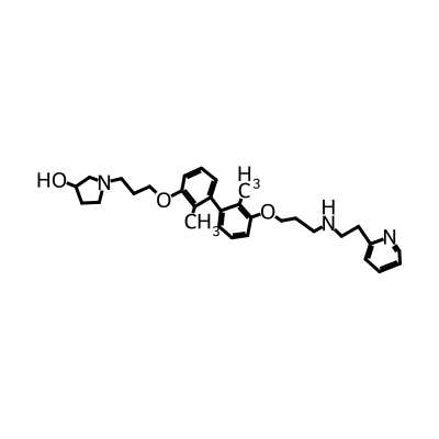 Cc1c(OCCCNCCc2ccccn2)cccc1-c1cccc(OCCCN2CCC(O)C2)c1C